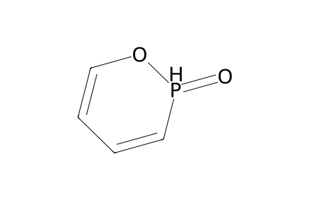 O=[PH]1C=CC=CO1